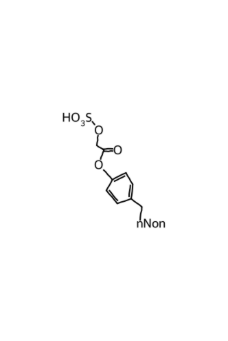 CCCCCCCCCCc1ccc(OC(=O)COS(=O)(=O)O)cc1